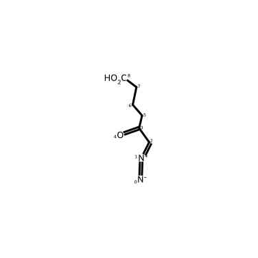 [N-]=[N+]=CC(=O)CCCC(=O)O